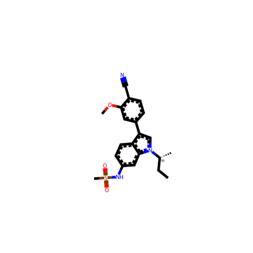 CC[C@@H](C)n1cc(-c2ccc(C#N)c(OC)c2)c2ccc(NS(C)(=O)=O)cc21